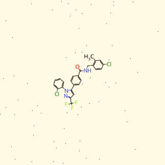 Cc1cc(Cl)ccc1CNC(=O)c1ccc(-c2cc(C(F)(F)F)nn2-c2ccccc2Cl)cc1